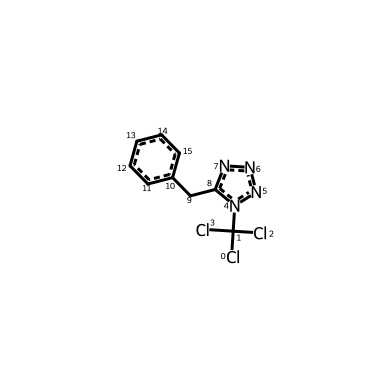 ClC(Cl)(Cl)n1nnnc1Cc1ccccc1